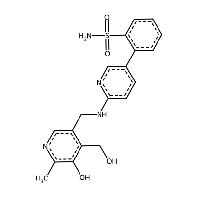 Cc1ncc(CNc2ccc(-c3ccccc3S(N)(=O)=O)cn2)c(CO)c1O